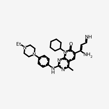 CCN1CCN(c2ccc(Nc3nc(C)c4cc(/C(N)=C/C=N)c(=O)n(C5CCCCC5)c4n3)cc2)CC1